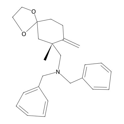 C=C1CCC2(C[C@@]1(C)CN(Cc1ccccc1)Cc1ccccc1)OCCO2